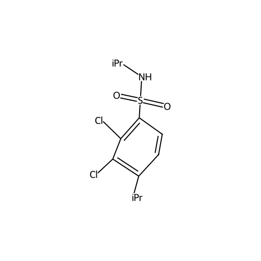 CC(C)NS(=O)(=O)c1ccc(C(C)C)c(Cl)c1Cl